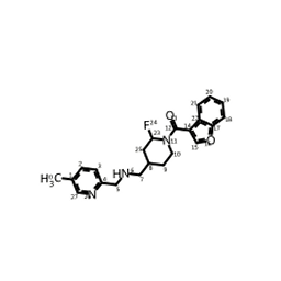 Cc1ccc(CNCC2CCN(C(=O)c3coc4ccccc34)C(F)C2)nc1